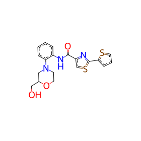 O=C(Nc1ccccc1N1CCOC(CO)C1)c1csc(-c2cccs2)n1